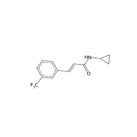 O=C(/C=C/c1cccc(C(F)(F)F)c1)NC1CC1